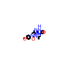 C=CCNC1COCC1Nc1ncc2c(n1)N(C)C(=O)N(c1ccc(OC)cc1)C2